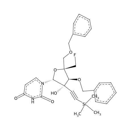 C[Si](C)(C)C#C[C@]1(O)[C@H](OCc2ccccc2)[C@@](CF)(COCc2ccccc2)O[C@H]1n1ccc(=O)[nH]c1=O